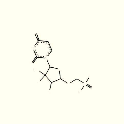 CC1(O)C(O)C(OCP(=O)(O)O)OC1n1ccc(=O)[nH]c1=O